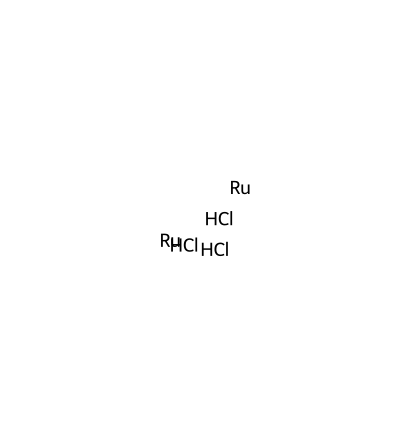 Cl.Cl.Cl.[Ru].[Ru]